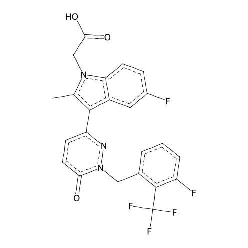 Cc1c(-c2ccc(=O)n(Cc3cccc(F)c3C(F)(F)F)n2)c2cc(F)ccc2n1CC(=O)O